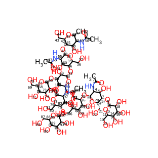 CC(=O)NC1C(O)[C@H](O[C@@H]2OC(CO)[C@H](O)[C@H](O)C2O)[C@H](CO)O[C@H]1OC1[C@@H](OCC2O[C@@H](O[C@@H]3C(CO)O[C@@H](O[C@@H]4C(CO)O[C@@H](C)C(NC(C)=O)[C@H]4O)C(NC(C)=O)[C@H]3O)C(O)[C@@H](O[C@H]3O[C@H](CO)[C@@H](O)C(O)C3O[C@@H]3OC(CO)[C@@H](O[C@@H]4OC(CO)[C@H](O)[C@H](O)C4O)[C@H](O)C3NC(C)=O)[C@@H]2O)OC(CO)[C@@H](O)[C@@H]1O